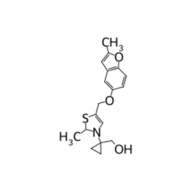 Cc1cc2cc(OCC3=CN(C4(CO)CC4)C(C)S3)ccc2o1